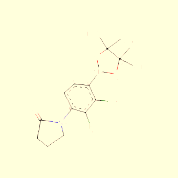 CC1(C)OB(c2ccc(N3CCCC3=O)c(F)c2F)OC1(C)C